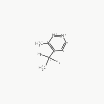 Cc1nn[c]cc1C(C)(F)F